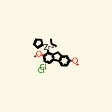 COc1ccc2c(c1)Cc1c-2ccc(OC)[c]1[Zr+2]([C]1=CC=CC1)=[C](C)C.[Cl-].[Cl-]